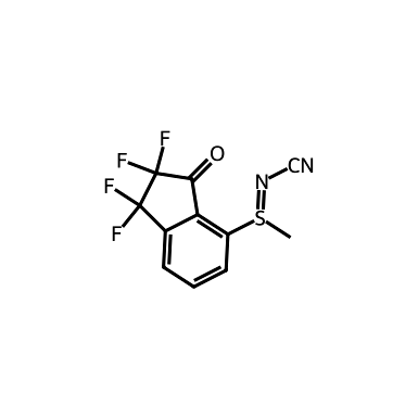 CS(=NC#N)c1cccc2c1C(=O)C(F)(F)C2(F)F